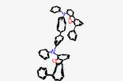 c1ccc(-c2cccc3c2oc2c(N(c4ccccc4)c4ccc(-c5ccc(N(c6ccccc6)c6cccc7c6oc6c(-c8ccccc8)cccc67)cc5)cc4)cccc23)cc1